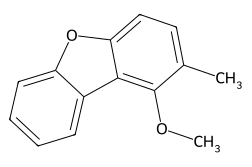 COc1c(C)ccc2oc3ccccc3c12